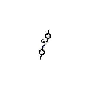 Cc1ccc(C[S+]([O-])/C=C/c2ccc(F)cc2)cc1